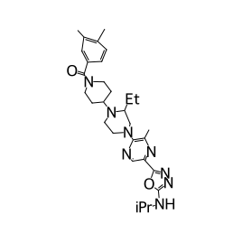 CCC1CN(c2ncc(-c3nnc(NC(C)C)o3)nc2C)CCN1C1CCN(C(=O)c2ccc(C)c(C)c2)CC1